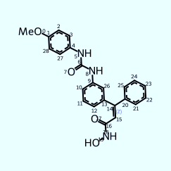 COc1ccc(NC(=O)Nc2cccc(/C(=C\C(=O)NO)c3ccccc3)c2)cc1